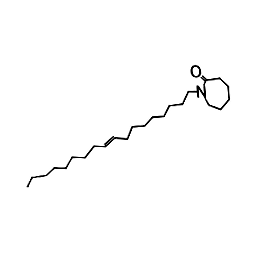 CCCCCCCCC=CCCCCCCCCN1CCCCCC1=O